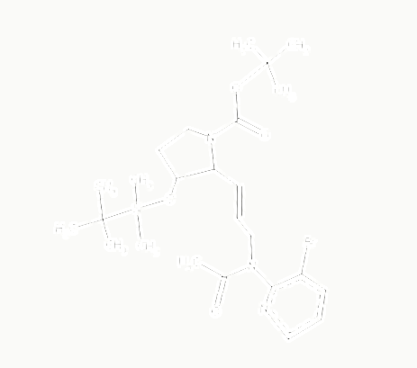 CC(=O)N(CC=CC1C(O[Si](C)(C)C(C)(C)C)CCN1C(=O)OC(C)(C)C)c1ncccc1Br